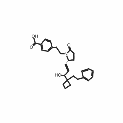 O=C(O)c1ccc(CCN2C(=O)CC[C@@H]2C=C[C@H](O)C2(CCc3ccccc3)CCC2)cc1